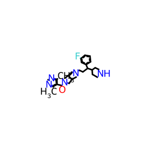 Cc1ncnc(C)c1C(=O)N1CC2=CN(CCC(c3cccc(F)c3)C3CCNCC3)CC2C1